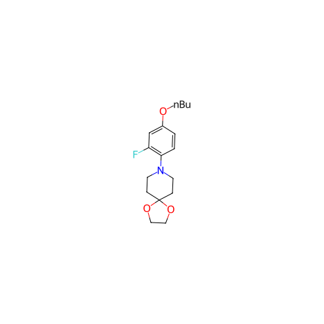 CCCCOc1ccc(N2CCC3(CC2)OCCO3)c(F)c1